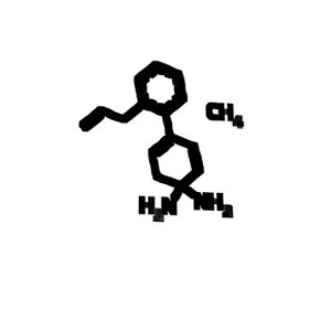 C.C=CCc1ccccc1C1=CCC(N)(N)C=C1